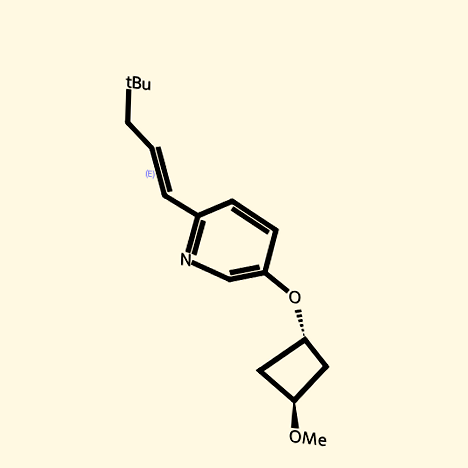 CO[C@H]1C[C@H](Oc2ccc(/C=C/CC(C)(C)C)nc2)C1